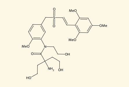 COc1cc(OC)c(C=CS(=O)(=O)Cc2ccc(OC)c(N(CCO)C(=O)C(N)(CCO)CCO)c2)c(OC)c1